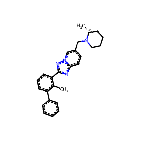 Cc1c(-c2ccccc2)cccc1-c1nc2ccc(CN3CCCC[C@H]3C)cn2n1